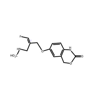 O=C(O)NC/C(=C\F)COc1ccc2c(c1)COC(=O)N2